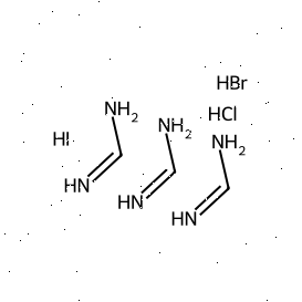 Br.Cl.I.N=CN.N=CN.N=CN